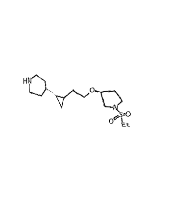 CCS(=O)(=O)N1CC[C@H](OCCC2C[C@@H]2C2CCNCC2)C1